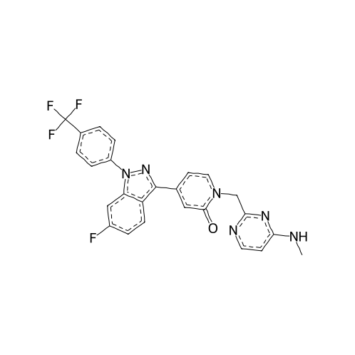 CNc1ccnc(Cn2ccc(-c3nn(-c4ccc(C(F)(F)F)cc4)c4cc(F)ccc34)cc2=O)n1